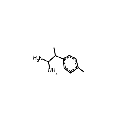 Cc1ccc(C(C)C(N)N)cc1